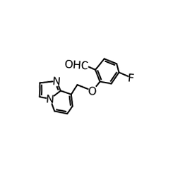 O=Cc1ccc(F)cc1OCc1cccn2ccnc12